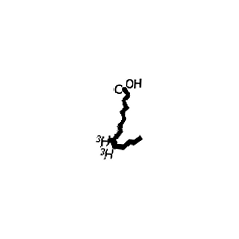 [3H]C(CCCC)C([3H])CCCCCCCC(=O)O